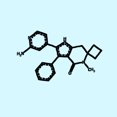 CN1C(=O)c2c([nH]c(-c3ccnc(N)c3)c2-c2ccccc2)CC12CCC2